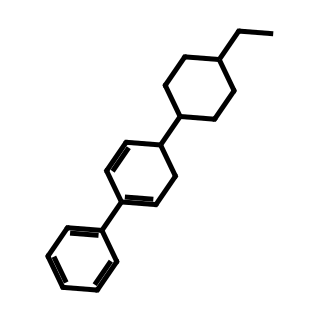 CCC1CCC(C2C=CC(c3ccccc3)=CC2)CC1